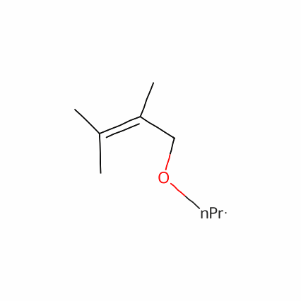 CC[CH]OCC(C)=C(C)C